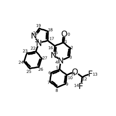 O=c1ccn(-c2ccccc2OC(F)F)nc1-c1ccnn1-c1ccccc1